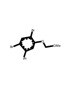 COCOc1cc(C(C)C)c(Br)cc1Br